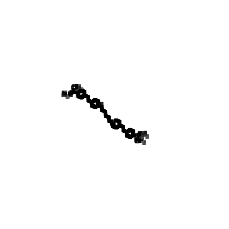 CN(C)c1ccc(CCc2cc[n+](CCCCCC[n+]3ccc(CCc4ccc(N(C)C)cc4)cc3)cc2)cc1